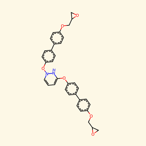 C1=CN(Oc2ccc(-c3ccc(OCC4CO4)cc3)cc2)NC(Oc2ccc(-c3ccc(OCC4CO4)cc3)cc2)=C1